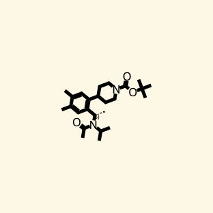 CC(=O)N(C(C)C)[C@@H](C)c1cc(C)c(C)cc1C1CCN(C(=O)OC(C)(C)C)CC1